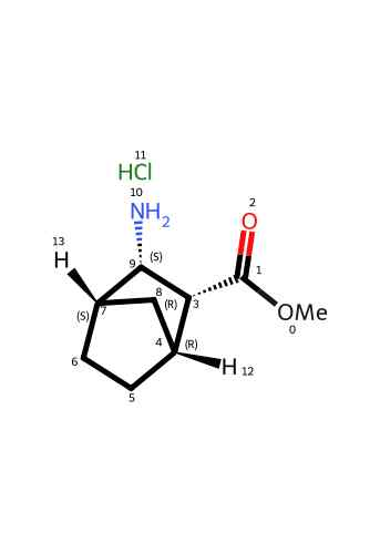 COC(=O)[C@@H]1[C@@H]2CC[C@@H](C2)[C@@H]1N.Cl